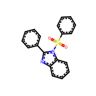 O=S(=O)(c1ccccc1)n1c(-c2ccccc2)nc2ccccc21